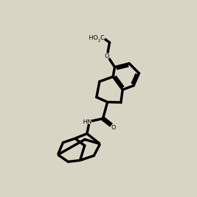 O=C(O)COc1cccc2c1CCC(C(=O)NC1C3CC4CC(C3)CC1C4)C2